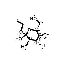 CCOC1(O)O[C@H](CO)[C@@H](O)[C@H](O)[C@H]1O